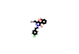 Cc1ccccc1-c1c(O)c(CC(C)C)nn(CCc2ccc(Cl)cc2)c1=O